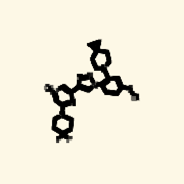 CCSc1ccc(-n2cc(-c3c[n+]([O-])cc(N4CCC(F)(F)CC4)n3)nn2)c(N2CCC3(CC2)CC3)c1